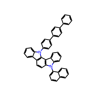 c1ccc(-c2ccc(-c3ccc(-n4c5ccccc5c5ccc6c(c7ccccc7n6-c6cccc7ccccc67)c54)cc3)cc2)cc1